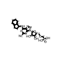 N#Cc1nc(NC2CCc3ccccc32)c2nnn([C@@H]3O[C@H](COCP(=O)(O)O)[C@@H](O)[C@H]3O)c2n1